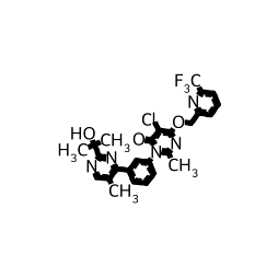 Cc1cnc(C(C)(C)O)nc1-c1cccc(-n2c(C)nc(OCc3cccc(C(F)(F)F)n3)c(Cl)c2=O)c1